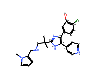 Cn1cccc1CNCC(C)(C)c1nc(-c2ccc(Cl)c(O)c2)c(-c2ccncc2)[nH]1